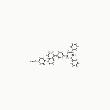 N#Cc1ccc(-c2cccc3c(-c4ccc(C5=NC(c6ccccc6)NC(c6ccccc6)=N5)cc4)cccc23)cc1